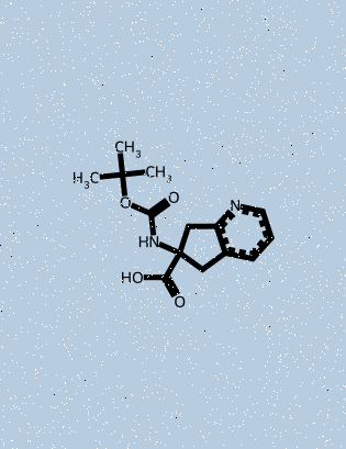 CC(C)(C)OC(=O)NC1(C(=O)O)Cc2cccnc2C1